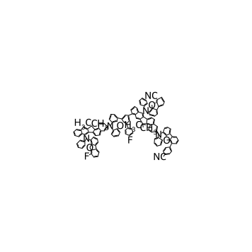 CC1(C)c2cc3ccccc3c(N(c3ccccc3)c3cccc4c3oc3c(F)cccc34)c2-c2ccc3cc(N(c4ccccc4)c4cccc5c4oc4c(-c6ccc(F)cc6)cc(-c6cccc7c(N(c8ccccc8)c8cccc9c8oc8c(C#N)cccc89)c8c(cc67)C(C)(C)c6c-8ccc7cc(N(c8ccccc8)c8cccc9c8oc8c(-c%10ccc(C#N)cc%10)cccc89)ccc67)cc45)ccc3c21